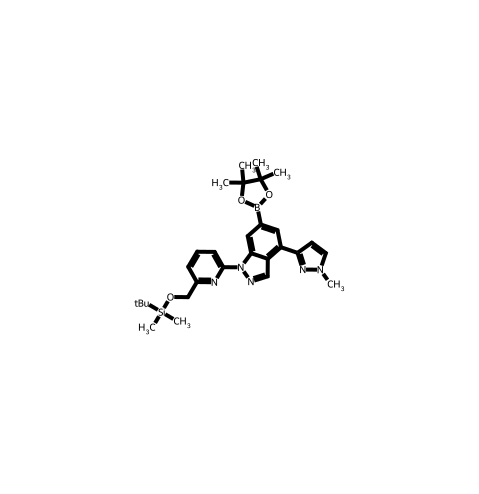 Cn1ccc(-c2cc(B3OC(C)(C)C(C)(C)O3)cc3c2cnn3-c2cccc(CO[Si](C)(C)C(C)(C)C)n2)n1